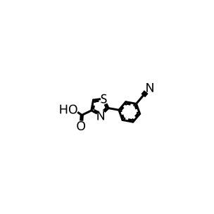 N#Cc1cccc(-c2nc(C(=O)O)cs2)c1